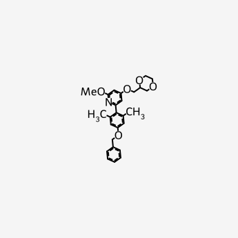 COc1cc(OCC2COCCO2)cc(-c2c(C)cc(OCc3ccccc3)cc2C)n1